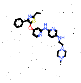 CCc1nc(-c2ccccc2)c(Oc2ccnc(Nc3ccc(NCCN4CCN(C)CC4)cn3)c2)s1